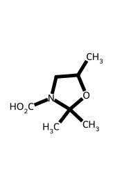 CC1CN(C(=O)O)C(C)(C)O1